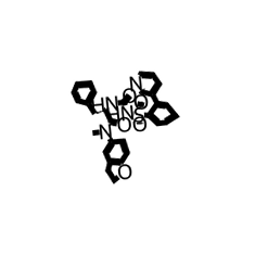 CN(C(=O)[C@H](Cc1ccccc1)NC(=O)NS(=O)(=O)c1ccccc1-c1cccnc1)c1ccc2c(c1)CCO2